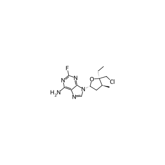 CC[C@@]1(CCl)O[C@@H](n2cnc3c(N)nc(F)nc32)C[C@@H]1C